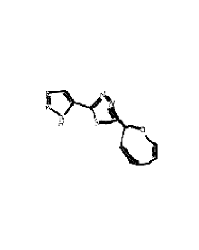 [c]1nn[nH]c1-c1nnc(C2C=CC=CO2)s1